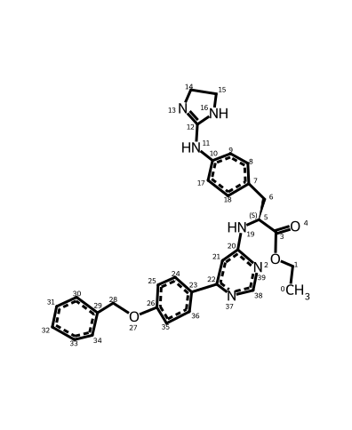 CCOC(=O)[C@H](Cc1ccc(NC2=NCCN2)cc1)Nc1cc(-c2ccc(OCc3ccccc3)cc2)ncn1